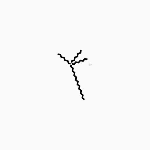 CCCCCCCCCCCCCCCC[P+](CCCCCCC)(CCCCCCC)CCCCCCC.[Cl-]